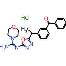 CC(c1cccc(C(=O)c2ccccc2)c1)c1nnc(N=C(N)N2CCOCC2)o1.Cl